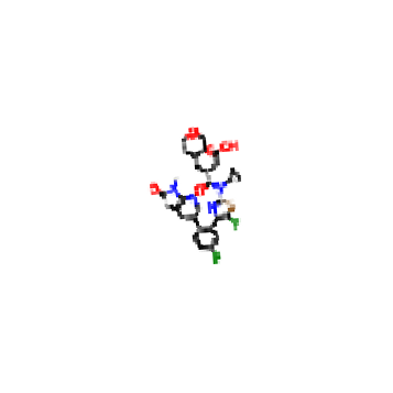 CN1C(=O)Cc2cc(-c3ccc(F)cc3-c3nc(N(C(=O)C(CC(=O)O)CC4CCOCC4)C4CC4)sc3F)cnc21